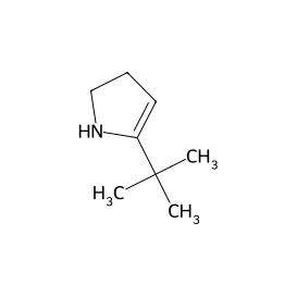 CC(C)(C)C1=CCCN1